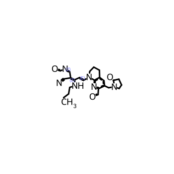 CCCCNC(/C=C/N1CCCc2cc(CN3CCCC3=O)c(C=O)nc21)=C(C#N)/C=N\C=O